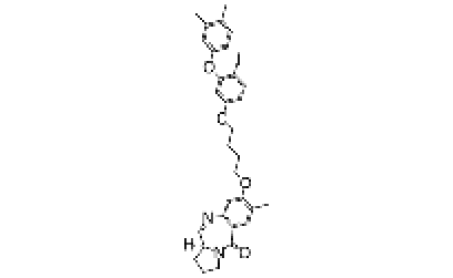 Cc1ccc(Oc2cc(OCCCCOc3cc4c(cc3C)C(=O)N3CCC[C@H]3C=N4)ccc2I)cc1C